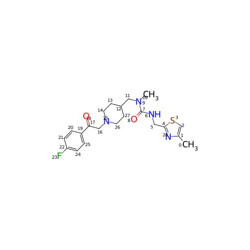 Cc1csc(CNC(=O)N(C)CC2CCN(CC(=O)c3ccc(F)cc3)CC2)n1